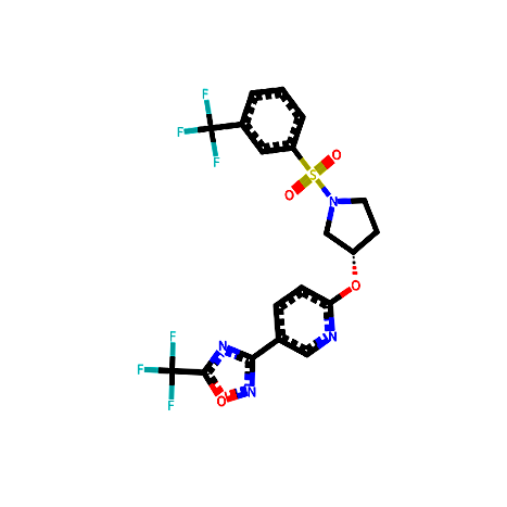 O=S(=O)(c1cccc(C(F)(F)F)c1)N1CC[C@H](Oc2ccc(-c3noc(C(F)(F)F)n3)cn2)C1